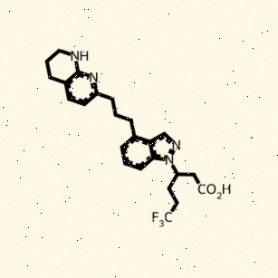 O=C(O)CC(CCC(F)(F)F)n1ncc2c(CCCc3ccc4c(n3)NCCC4)cccc21